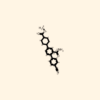 COC(=O)C1CCC(c2ccc(-c3ccc(C#N)cc3)c(C(N)=O)c2)CC1